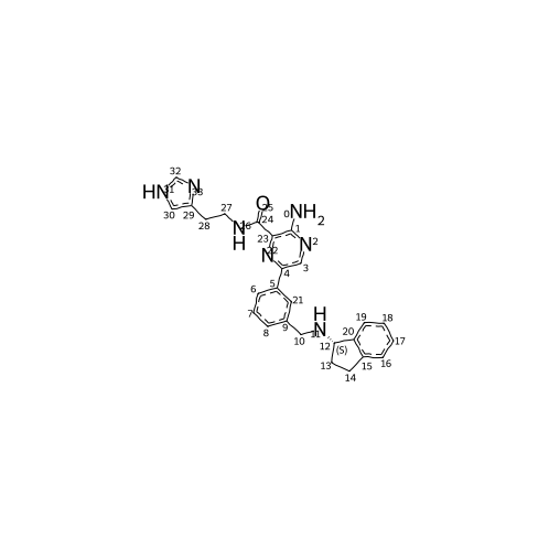 Nc1ncc(-c2cccc(CN[C@H]3CCc4ccccc43)c2)nc1C(=O)NCCc1c[nH]cn1